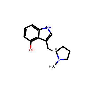 CN1CCC[C@H]1Cc1c[nH]c2cccc(O)c12